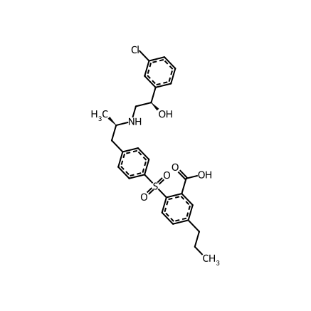 CCCc1ccc(S(=O)(=O)c2ccc(C[C@@H](C)NC[C@H](O)c3cccc(Cl)c3)cc2)c(C(=O)O)c1